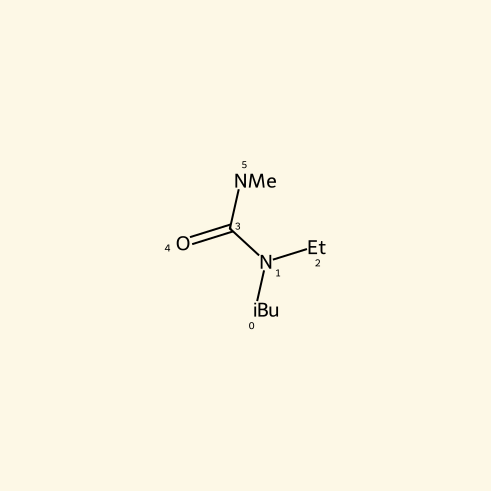 CCC(C)N(CC)C(=O)NC